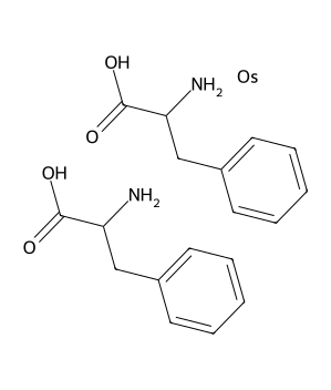 NC(Cc1ccccc1)C(=O)O.NC(Cc1ccccc1)C(=O)O.[Os]